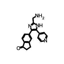 NCc1nc(-c2ccc3c(c2)CCC3=O)c(-c2ccncc2)[nH]1